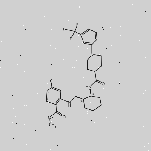 COC(=O)c1ccc(Cl)cc1NC[C@@H]1CCCC[C@@H]1NC(=O)C1CCN(c2cccc(C(F)(F)F)c2)CC1